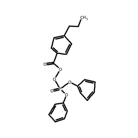 CCCc1ccc(C(=O)OOP(=O)(Oc2ccccc2)Oc2ccccc2)cc1